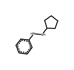 c1ccc(NNC2CCCC2)cc1